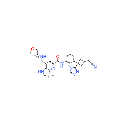 Cn1cnnc1C1(c2cccc(NC(=O)c3cc(CN[C@@H]4CCOC4)c4c(n3)C(C)(C)CN4)c2)CC(CC#N)C1